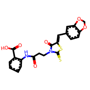 O=C(CCN1C(=O)/C(=C/c2ccc3c(c2)OCO3)SC1=S)Nc1ccccc1C(=O)O